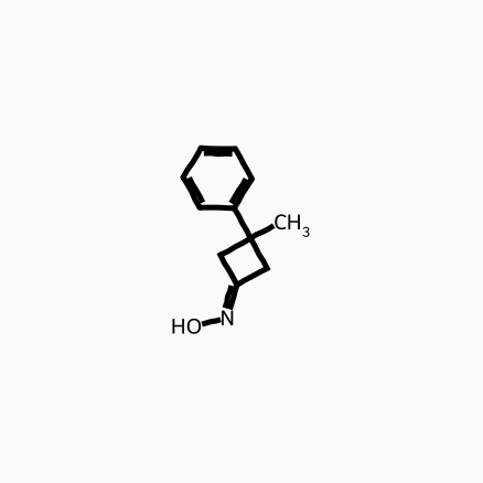 CC1(c2ccccc2)CC(=NO)C1